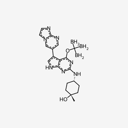 BC(B)(B)Oc1nc(N[C@H]2CC[C@@](C)(O)CC2)nc2[nH]cc(-c3cnc4nccn4c3)c12